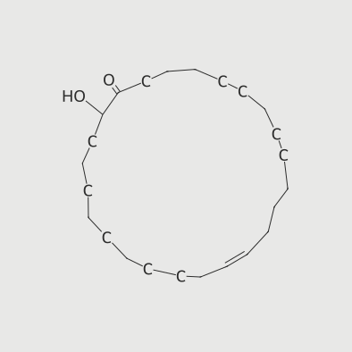 O=C1CCCCCCCCCCCC=CCCCCCCCCCC1O